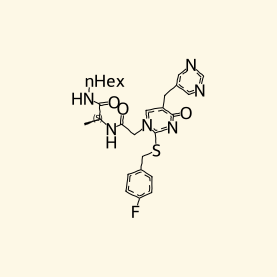 CCCCCCNC(=O)[C@H](C)NC(=O)Cn1cc(Cc2cncnc2)c(=O)nc1SCc1ccc(F)cc1